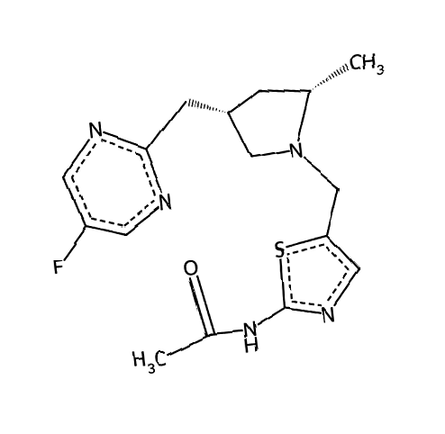 CC(=O)Nc1ncc(CN2C[C@H](Cc3ncc(F)cn3)C[C@@H]2C)s1